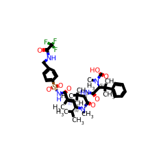 C/C(=C\[C@H](C(C)C)N(C)C(=O)[C@@H](NC(=O)[C@@H](N(C)C(=O)O)C(C)(C)c1ccccc1)C(C)(C)C)C(=O)NS(=O)(=O)c1ccc(CNC(=O)C(F)(F)F)cc1